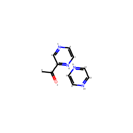 CC(=O)c1cnccn1.c1cnccn1